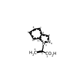 C=C(C(=O)O)n1ncc2ccccc21